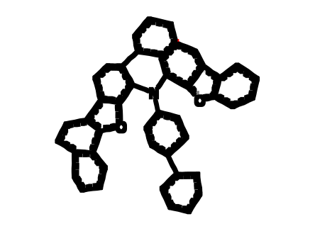 c1ccc(-c2ccc(N(c3cccc4c3oc3ccccc34)c3c(-c4ccccc4)ccc4c3oc3c5ccccc5ccc43)cc2)cc1